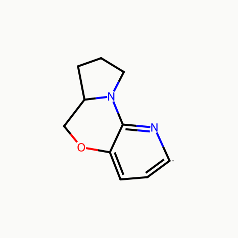 [c]1ccc2c(n1)N1CCCC1CO2